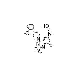 COc1ccccc1C1CCN(c2nc(C3(F)CC3)nc3c(F)cc(N(C)CCO)cc23)CC1